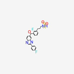 O=C(c1ccc2ncc(-c3ccc(F)cc3)nc2c1)c1cccc(CCCN[SH](=O)=O)c1F